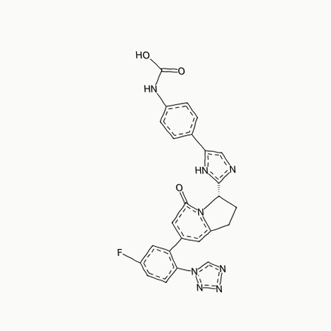 O=C(O)Nc1ccc(-c2cnc([C@@H]3CCc4cc(-c5cc(F)ccc5-n5cnnn5)cc(=O)n43)[nH]2)cc1